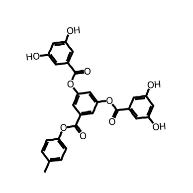 Cc1ccc(OC(=O)c2cc(OC(=O)c3cc(O)cc(O)c3)cc(OC(=O)c3cc(O)cc(O)c3)c2)cc1